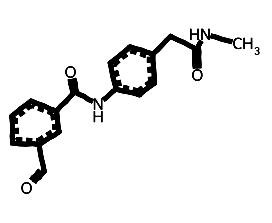 CNC(=O)Cc1ccc(NC(=O)c2cccc(C=O)c2)cc1